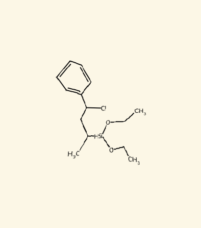 CCO[SiH](OCC)C(C)CC(Cl)c1ccccc1